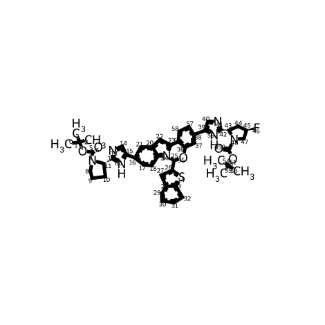 CC(C)(C)OC(=O)N1CCC[C@H]1c1ncc(-c2ccc3c(c2)cc2n3C(c3cc4ccccc4s3)Oc3cc(-c4cnc([C@@H]5C[C@@H](F)CN5C(=O)OC(C)(C)C)[nH]4)ccc3-2)[nH]1